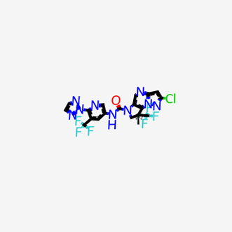 C[C@@]1(C(F)(F)F)CN(C(=O)Nc2cnc(-n3nccn3)c(C(F)(F)F)c2)c2cnc3cc(Cl)nn3c21